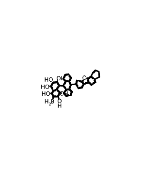 Bc1c(O)c(O)c2c(-c3c4ccccc4c(-c4ccc5c(c4)oc4c6c(ccc45)CCC=C6)c4ccccc34)c(O)c(O)c(O)c2c1O